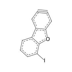 Ic1cccc2c1oc1cc#ccc12